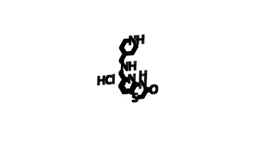 Cl.O=C1CSc2ccc(CNCC3CCNCC3)nc2N1